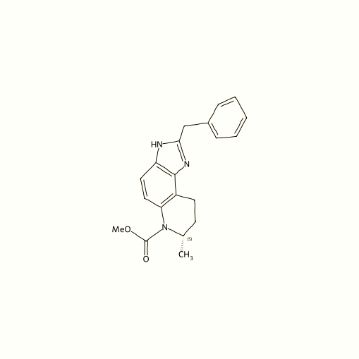 COC(=O)N1c2ccc3[nH]c(Cc4ccccc4)nc3c2CC[C@@H]1C